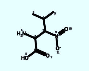 CC(C)C(C(N)C(=O)O)[N+](=O)[O-]